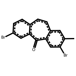 Cc1cc2ccc3ccc(Br)cc3c(=O)c2cc1Br